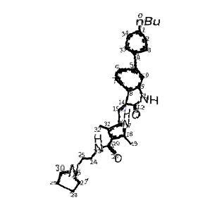 CCCCc1ccc(-c2ccc3c(c2)NC(=O)/C3=C\c2[nH]c(C)c(C(=O)NCCN3CCCC3)c2C)cc1